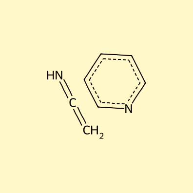 C=C=N.c1ccncc1